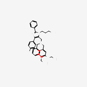 CCCCn1c(-c2ccccc2)nc(-c2ccc(Cl)cc2)c1CN(Cc1cccc(OCC)c1)Cc1cccc(OCC)c1